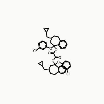 O=C(OC1(Oc2cccc(Cl)c2)CN(CC2CC2)CCc2ccccc21)C(=O)OC1(Oc2cccc(Cl)c2)CN(CC2CC2)CCc2ccccc21